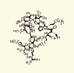 CC[C@H](C)[C@H](NC(=O)[C@@H](NC(=O)[C@@H](NC(=O)[C@@H]1CCCN1C(=O)[C@H](CCC(=O)O)NC(=O)[C@H](CC(C)C)NC(=O)[C@@H](N)CC(=O)O)[C@@H](C)O)C(C)C)C(=O)N[C@@H](CC(=O)O)C(=O)N[C@@H](CCC(=O)O)C(=O)N[C@H](C(=O)N[C@@H](CCCNC(=N)N)C(=O)N[C@H](C(=O)NCC(=O)O)[C@@H](C)O)C(C)C